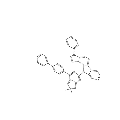 CC1(C)C=c2nc(-n3c4ccccc4c4ccc5c(ccn5-c5ccccc5)c43)nc(-c3ccc(-c4ccccc4)cc3)c2=C1